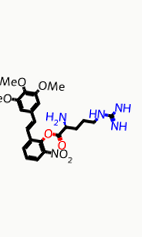 COc1cc(C=Cc2cccc([N+](=O)[O-])c2OC(=O)[C@@H](N)CCCNC(=N)N)cc(OC)c1OC